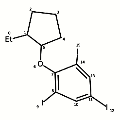 CCC1CCCC1Oc1c(I)cc(I)cc1I